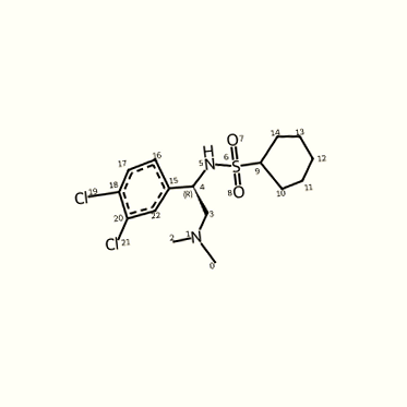 CN(C)C[C@H](NS(=O)(=O)C1CCCCC1)c1ccc(Cl)c(Cl)c1